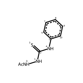 CC(=O)NNC(=S)Nc1ccccc1